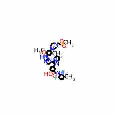 COc1cc(N2CCCN(CCS(C)(=O)=O)CC2)c(C)cc1Nc1nccc(-c2c(-c3ccc(O)c(C(=O)NC4=C(F)C=CC(C)C4F)c3)nc3ccccn23)n1